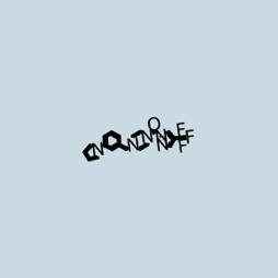 O=C(N1CCN(Cc2cccc(N3CCCC3)c2)CC1)n1cc(C(F)(F)F)cn1